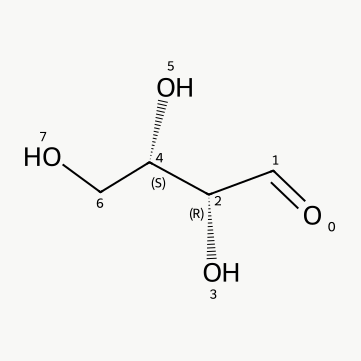 O=C[C@H](O)[C@@H](O)CO